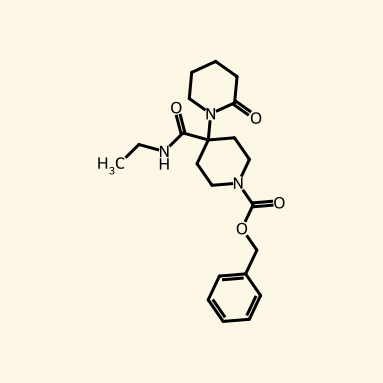 CCNC(=O)C1(N2CCCCC2=O)CCN(C(=O)OCc2ccccc2)CC1